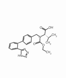 CCOC(=O)N(Cc1ccc(-c2ccccc2-c2nnn[nH]2)cc1)[C@H](C(=O)O)C(C)C